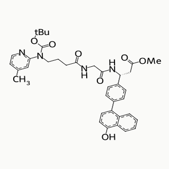 COC(=O)C[C@@H](NC(=O)CNC(=O)CCCN(C(=O)OC(C)(C)C)c1cc(C)ccn1)c1ccc(-c2ccc(O)c3ccccc23)cc1